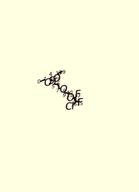 CCO[Si](C)(CCCOCCOC(F)=C(F)Cl)OCC